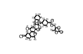 COc1cn([C@@H](Cc2ccccc2)C(=O)Nc2ccc(C(=O)OCc3oc(=O)oc3C)cc2)c(=O)cc1-c1cc(Cl)ccc1C(C)=O